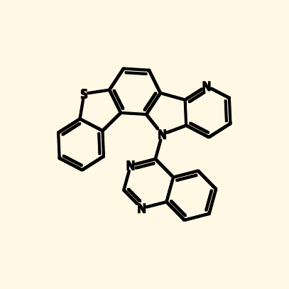 c1ccc2c(-n3c4cccnc4c4ccc5sc6ccccc6c5c43)ncnc2c1